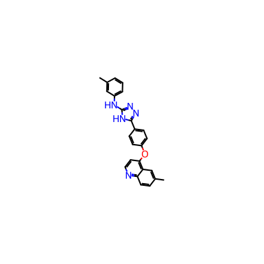 Cc1cccc(Nc2nnc(-c3ccc(Oc4ccnc5ccc(C)cc45)cc3)[nH]2)c1